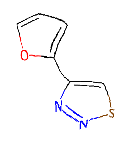 c1coc(-c2csnn2)c1